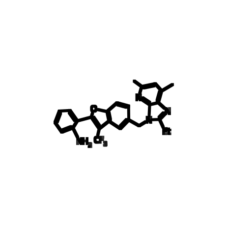 CCc1nc2c(C)cc(C)nc2n1Cc1ccc2oc(-c3ccccc3N)c(C(F)(F)F)c2c1